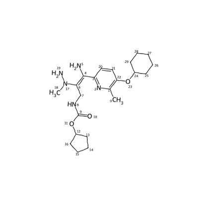 Cc1nc(/C(N)=C(\CNC(=O)OC2CCCC2)N(C)N)ccc1OC1CCCCC1